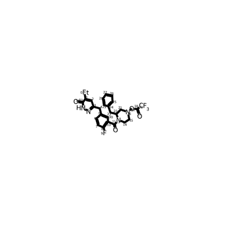 CCc1cc(Cc2ccc(F)c(C(=O)N3CCN(OC(=O)C(F)(F)F)CC3Cc3ccccc3)c2)n[nH]c1=O